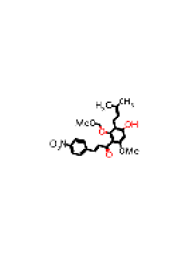 COCOc1c(CC=C(C)C)c(O)cc(OC)c1C(=O)/C=C/c1ccc([N+](=O)[O-])cc1